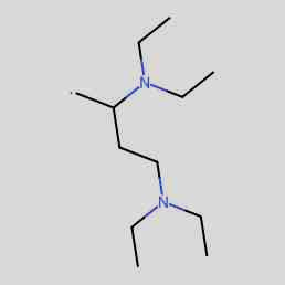 [CH2]C(CCN(CC)CC)N(CC)CC